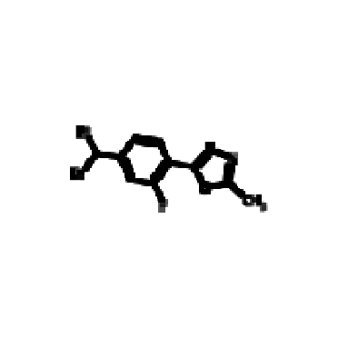 CCC(CC)c1ccc(-c2nnc(C)o2)c(F)c1